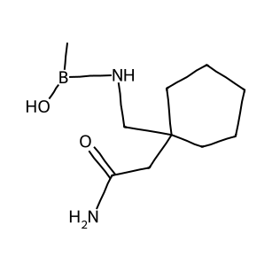 CB(O)NCC1(CC(N)=O)CCCCC1